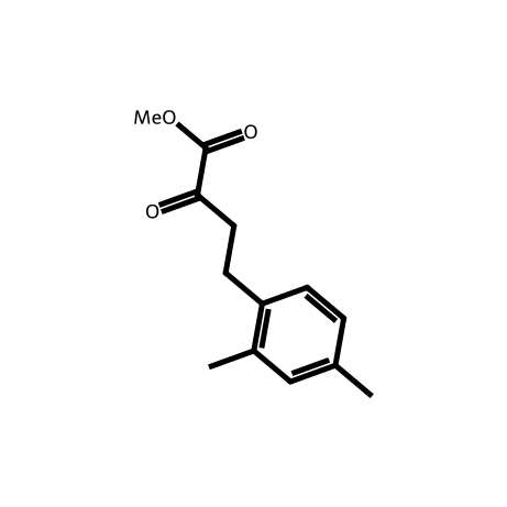 COC(=O)C(=O)CCc1ccc(C)cc1C